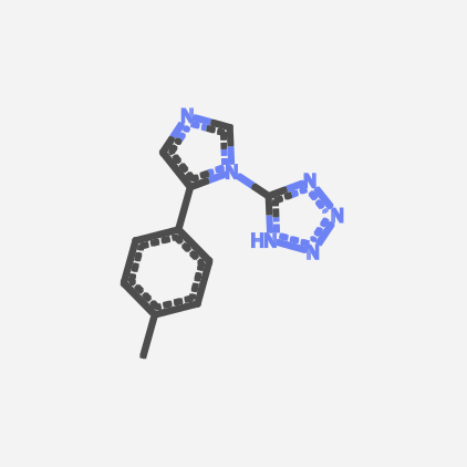 Cc1ccc(-c2cncn2-c2nnn[nH]2)cc1